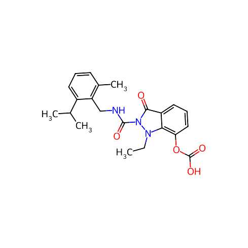 CCn1c2c(OC(=O)O)cccc2c(=O)n1C(=O)NCc1c(C)cccc1C(C)C